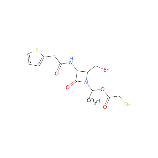 O=C(Cc1cccs1)NC1C(=O)N(C(OC(=O)CS)C(=O)O)C1CBr